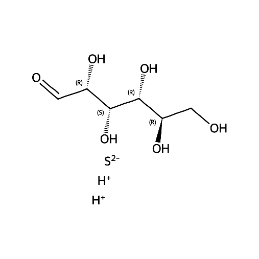 O=C[C@H](O)[C@@H](O)[C@H](O)[C@H](O)CO.[H+].[H+].[S-2]